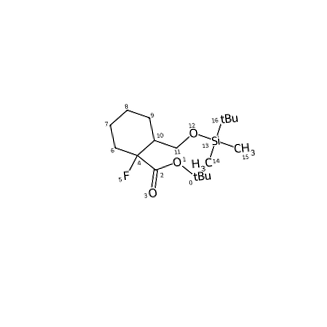 CC(C)(C)OC(=O)C1(F)CCCCC1CO[Si](C)(C)C(C)(C)C